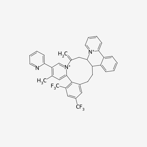 C=C1CC2C(CCc3cc(C(F)(F)F)cc(C(F)(F)F)c3-c3cc(C)c(-c4ccccn4)c[n+]31)c1ccccc1-c1cccc[n+]12